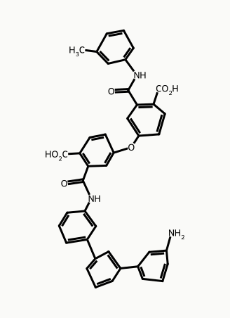 Cc1cccc(NC(=O)c2cc(Oc3ccc(C(=O)O)c(C(=O)Nc4cccc(-c5cccc(-c6cccc(N)c6)c5)c4)c3)ccc2C(=O)O)c1